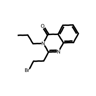 CCCn1c(CCBr)nc2ccccc2c1=O